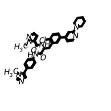 Cn1cncc1-c1ccc(NC(=O)C(Cc2cc(-c3ccnc(N4CCCCC4)c3)ccc2Cl)NC(=O)c2ccnn2C)cc1